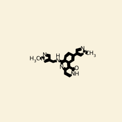 Cn1cc(CNc2nc3cc[nH]c(=O)c3c3cc(-c4cnn(C)c4)ccc23)cn1